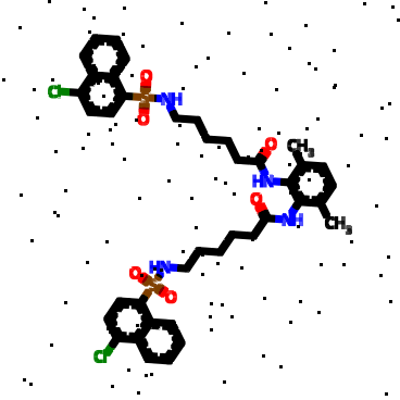 Cc1ccc(C)c(NC(=O)CCCCCNS(=O)(=O)c2ccc(Cl)c3ccccc23)c1NC(=O)CCCCCNS(=O)(=O)c1ccc(Cl)c2ccccc12